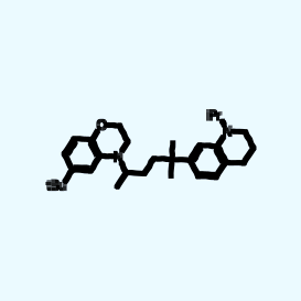 CC(C)N1CCCc2ccc(C(C)(C)CCC(C)N3CCOc4ccc(C(C)(C)C)cc43)cc21